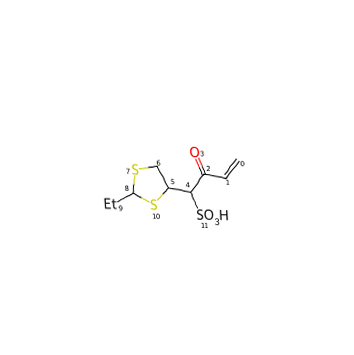 C=CC(=O)C(C1CSC(CC)S1)S(=O)(=O)O